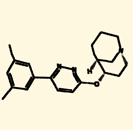 Cc1cc(C)cc(-c2ccc(O[C@H]3CC[N@@]4CCC[C@H]3C4)nn2)c1